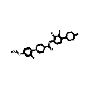 CCCCCCCCOc1ccc(C2CCC(C(=O)Oc3ccc(C4CCC(C)CC4)c(F)c3F)CC2)c(F)c1